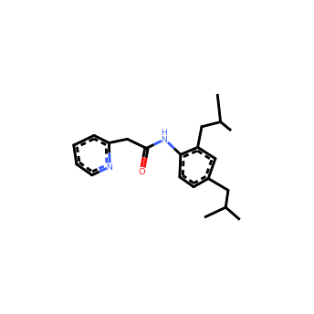 CC(C)Cc1ccc(NC(=O)Cc2ccccn2)c(CC(C)C)c1